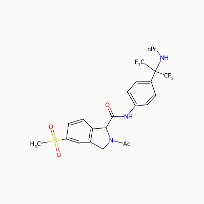 CCCNC(c1ccc(NC(=O)C2c3ccc(S(C)(=O)=O)cc3CN2C(C)=O)cc1)(C(F)(F)F)C(F)(F)F